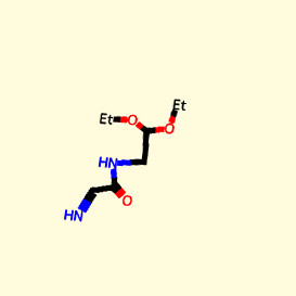 CCOC(CNC(=O)C=N)OCC